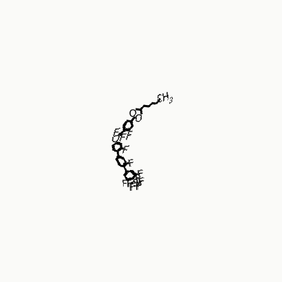 CCCCCC1COC(c2ccc(C(F)(F)Oc3ccc(-c4ccc(-c5cc(F)c(S(F)(F)(F)(F)F)c(F)c5)c(F)c4)c(F)c3)c(F)c2)OC1